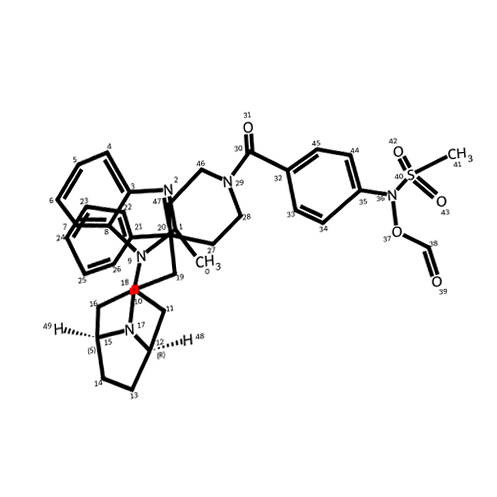 Cc1nc2ccccc2n1C1C[C@H]2CC[C@@H](C1)N2CCC1(c2ccccc2)CCN(C(=O)c2ccc(N(OC=O)S(C)(=O)=O)cc2)CC1